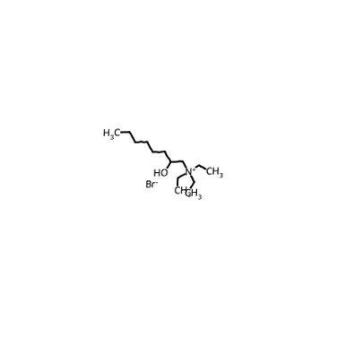 CCCCCCC(O)C[N+](CC)(CC)CC.[Br-]